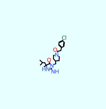 CC(C)CC1(C)NC(=N)N(CC2CCN(C(=O)Cc3ccc(Cl)cc3)CC2)C1=O